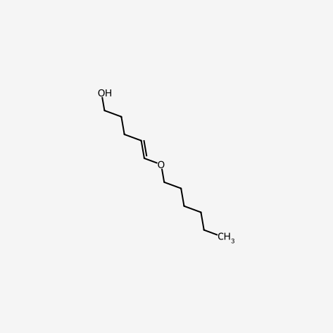 CCCCCCOC=CCCCO